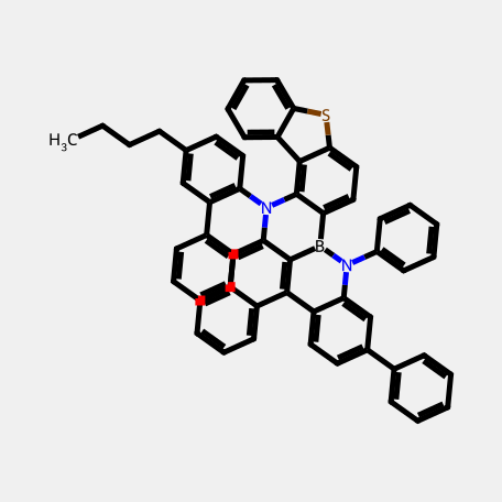 CCCCc1ccc(N2c3cc4ccccc4c4c3B(c3ccc5sc6ccccc6c5c32)N(c2ccccc2)c2cc(-c3ccccc3)ccc2-4)c(-c2ccccc2)c1